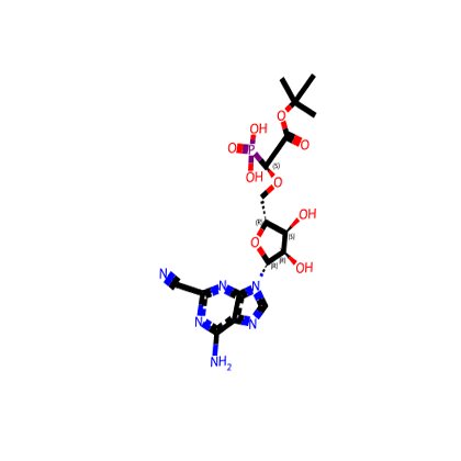 CC(C)(C)OC(=O)[C@@H](OC[C@H]1O[C@@H](n2cnc3c(N)nc(C#N)nc32)[C@H](O)[C@@H]1O)P(=O)(O)O